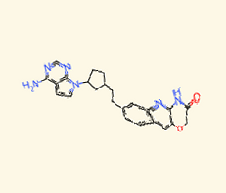 Nc1ncnc2c1ccn2C1CCC(CCc2ccc3cc4c(nc3c2)NC(=O)CO4)C1